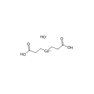 O=C(O)C[CH2][Ge+][CH2]CC(=O)O.[OH-]